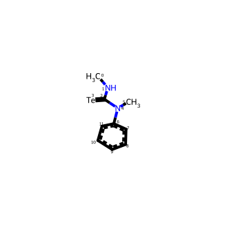 CNC(=[Te])N(C)c1ccccc1